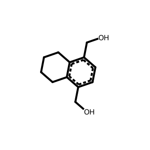 OCc1ccc(CO)c2c1CCCC2